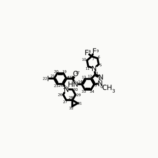 Cn1nc(N2CCC(F)(F)CC2)c2cc(NC(=O)c3ccc(I)cc3N3CCC4(CC3)CC4)ccc21